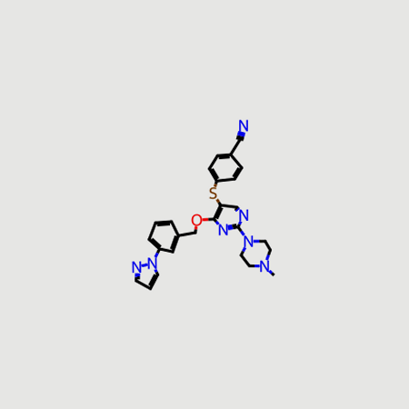 CN1CCN(c2ncc(Sc3ccc(C#N)cc3)c(OCc3cccc(-n4cccn4)c3)n2)CC1